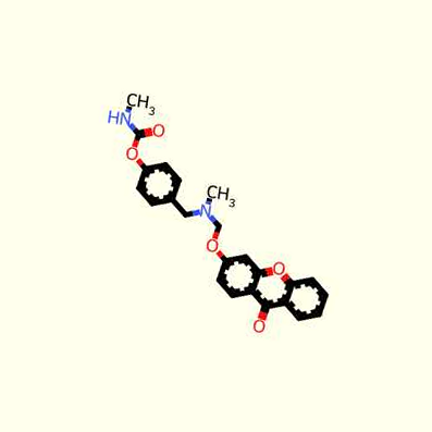 CNC(=O)Oc1ccc(CN(C)COc2ccc3c(=O)c4ccccc4oc3c2)cc1